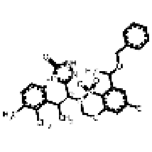 Cc1ccc(F)c(C(C)[C@@H](c2n[nH]c(=O)o2)N2COc3cc(Cl)cc(C(C)OCc4ccccc4)c3S2(=O)=O)c1C